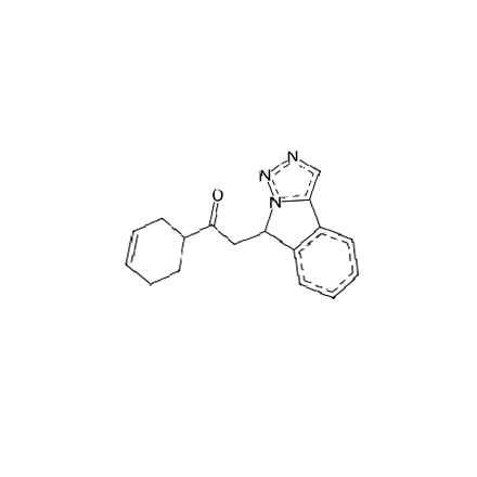 O=C(CC1c2ccccc2-c2cnnn21)C1CC=CCC1